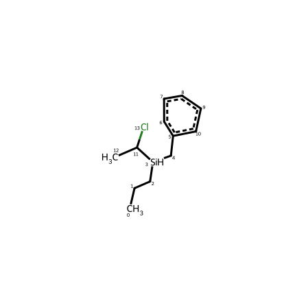 CCC[SiH](Cc1ccccc1)C(C)Cl